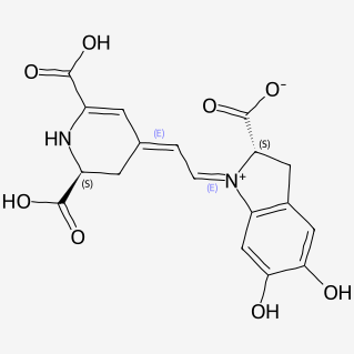 O=C(O)C1=C/C(=C/C=[N+]2/c3cc(O)c(O)cc3C[C@H]2C(=O)[O-])C[C@@H](C(=O)O)N1